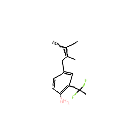 Bc1ccc(C/C(C)=C(/C)C(C)=O)cc1C(C)(F)F